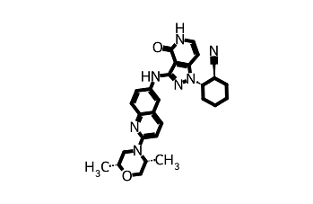 C[C@@H]1CN(c2ccc3cc(Nc4nn([C@H]5CCCC[C@@H]5C#N)c5cc[nH]c(=O)c45)ccc3n2)[C@H](C)CO1